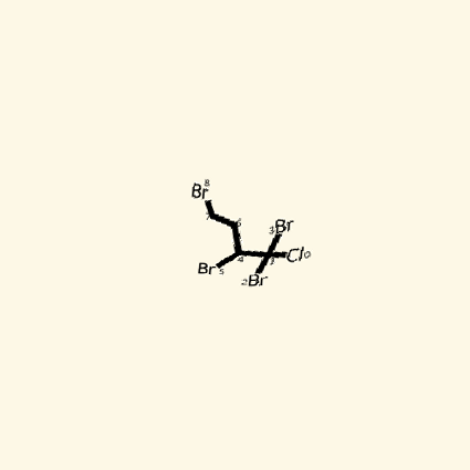 ClC(Br)(Br)C(Br)CCBr